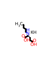 CCCCCN[C@@H](CCC(=O)O)C(=O)O.[KH]